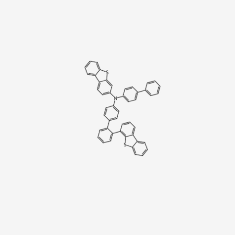 c1ccc(-c2ccc(N(c3ccc(-c4ccccc4-c4cccc5c4sc4ccccc45)cc3)c3ccc4c(c3)sc3ccccc34)cc2)cc1